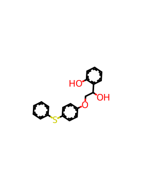 Oc1ccccc1C(O)COc1ccc(Sc2ccccc2)cc1